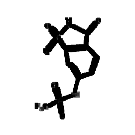 O=C1NS(=O)(=O)c2cc(NS(=O)(=O)C(F)(F)F)ccc21